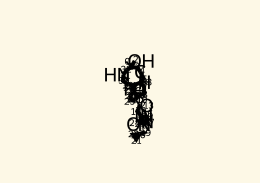 C[C@@]1(O)CCC[C@H]2CC[C@]3(C)[C@@H](C(=O)Cn4nnn(CC5CC5)c4=O)CC[C@H]3[C@@H]2CCNC1